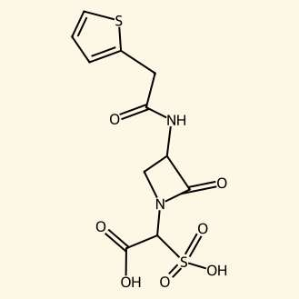 O=C(Cc1cccs1)NC1CN(C(C(=O)O)S(=O)(=O)O)C1=O